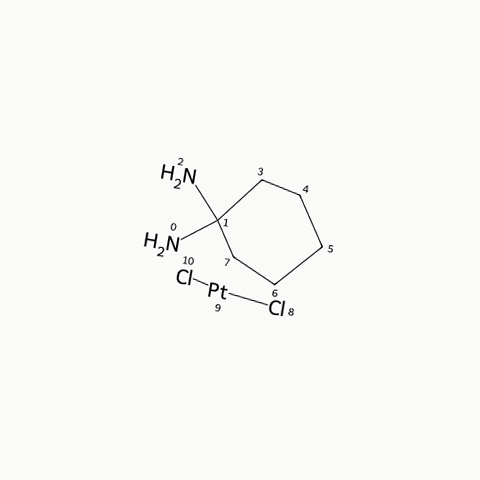 NC1(N)CCCCC1.[Cl][Pt][Cl]